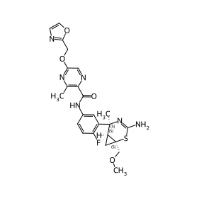 COC[C@]12C[C@H]1[C@@](C)(c1cc(NC(=O)c3ncc(OCc4ncco4)nc3C)ccc1F)N=C(N)S2